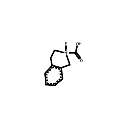 O=C(O)[N+]1(F)CCc2ccccc2C1